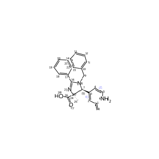 C=C/C=C(\C=C/N)[C@@H]1N(Cc2ccccc2)C(c2ccccc2)=N[C@]1(C)C(=O)O